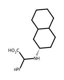 CCCC(N[C@H]1CCC2CCCCC2C1)C(=O)O